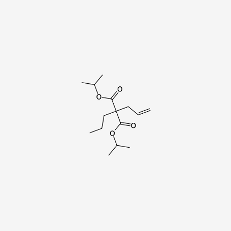 C=CCC(CCC)(C(=O)OC(C)C)C(=O)OC(C)C